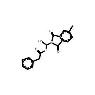 Cc1ccc2c(c1)C(=O)N(C(OC(=O)Cc1ccccc1)C(C)C)C2=O